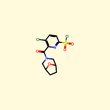 O=C(c1nc(S(=O)(=O)Cl)ccc1Cl)N1CC2CCC(C1)O2